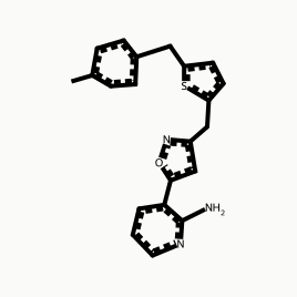 Cc1ccc(Cc2ccc(Cc3cc(-c4cccnc4N)on3)s2)cc1